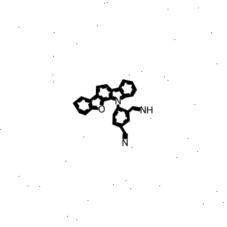 N#Cc1ccc(-n2c3ccccc3c3ccc4c5ccccc5oc4c32)c(C=N)c1